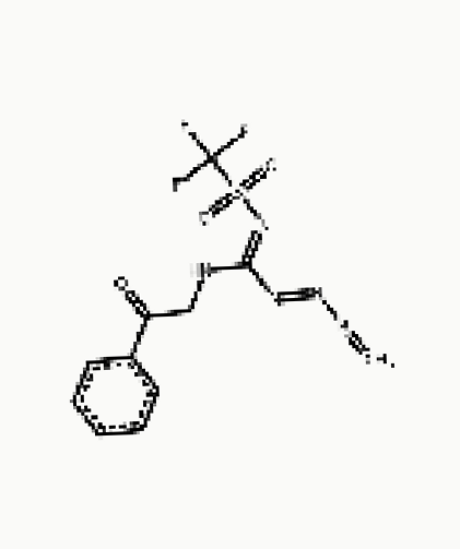 C=BN=N/C(=N/S(=O)(=O)C(F)(F)F)NCC(=O)c1ccccc1